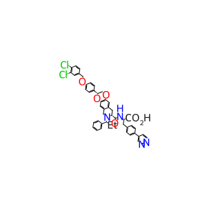 CC[C@@H](c1ccccc1)N1Cc2cc3c(cc2C[C@H]1C(=O)NC(Cc1ccc(-c2ccnnc2)cc1)C(=O)O)OC[C@H](c1ccc(OCc2ccc(Cl)c(Cl)c2)cc1)O3